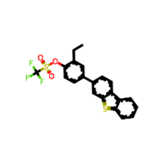 CCc1cc(-c2ccc3c(c2)sc2ccccc23)ccc1OS(=O)(=O)C(F)(F)F